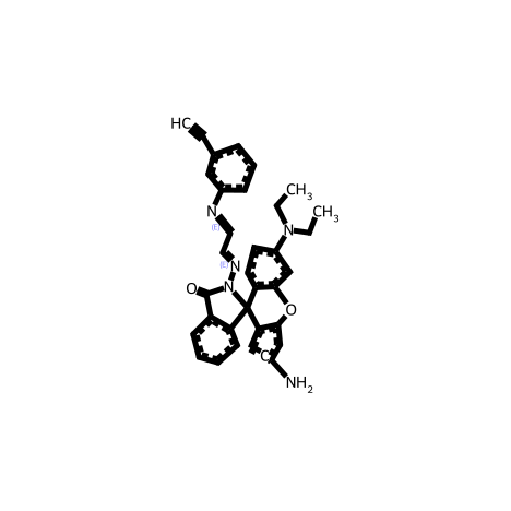 C#Cc1cccc(/N=C/C=N/N2C(=O)c3ccccc3C23c2ccc(N)cc2Oc2cc(N(CC)CC)ccc23)c1